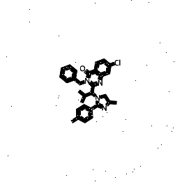 Cc1ccc(C2=NC(C)CN2C(c2nc3cc(Cl)ccc3c(=O)n2Cc2ccccc2)C(C)C)cc1